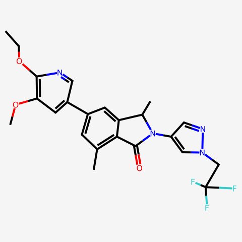 CCOc1ncc(-c2cc(C)c3c(c2)C(C)N(c2cnn(CC(F)(F)F)c2)C3=O)cc1OC